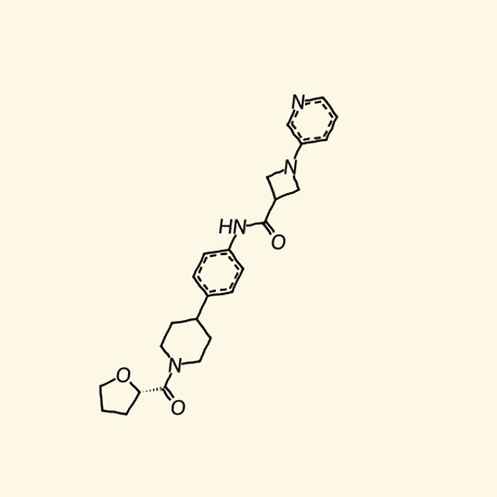 O=C(Nc1ccc(C2CCN(C(=O)[C@@H]3CCCO3)CC2)cc1)C1CN(c2cccnc2)C1